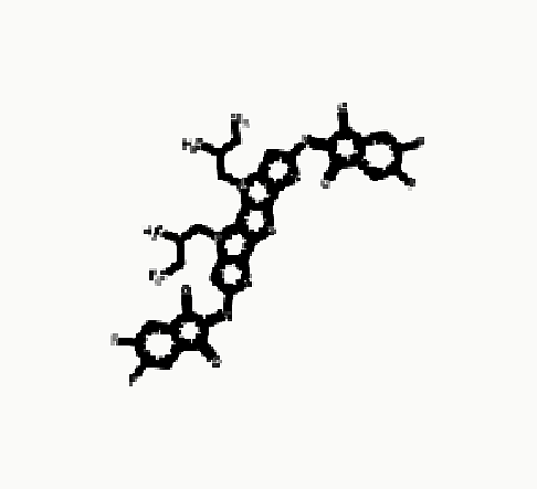 CC(Cn1c2cc(N=c3c(=O)c4cc(F)c(F)cc4c3=O)sc2c2sc3c4sc(N=c5c(=O)c6cc(F)c(F)cc6c5=O)cc4n(CC(C)CC(F)(F)F)c3c21)CC(F)(F)F